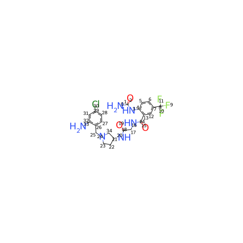 NC(=O)Nc1ccc(C(F)(F)F)cc1C(=O)NCC(=O)N[C@@H]1CCN(Cc2ccc(Cl)cc2N)C1